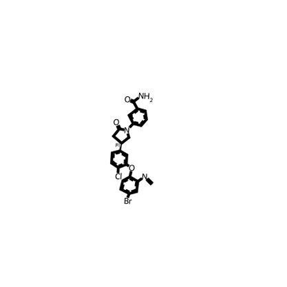 C=Nc1cc(Br)ccc1Oc1cc([C@H]2CC(=O)N(c3cccc(C(N)=O)c3)C2)ccc1Cl